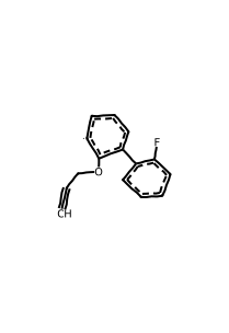 C#CCOc1[c]cccc1-c1ccccc1F